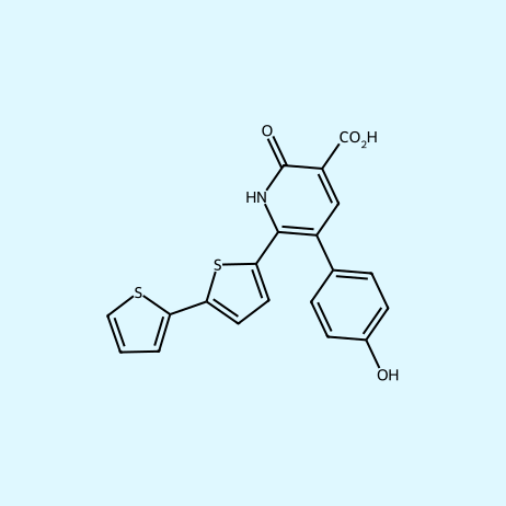 O=C(O)c1cc(-c2ccc(O)cc2)c(-c2ccc(-c3cccs3)s2)[nH]c1=O